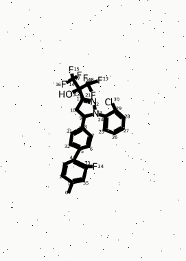 Cc1ccc(-c2ccc(C3CC(C(O)(C(F)(F)F)C(F)(F)F)=NN3c3ccccc3Cl)cc2)c(F)c1